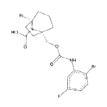 O=C(Nc1cc(F)ccc1Br)OC[C@]12CCC[C@H](CC1)N2C(=O)O